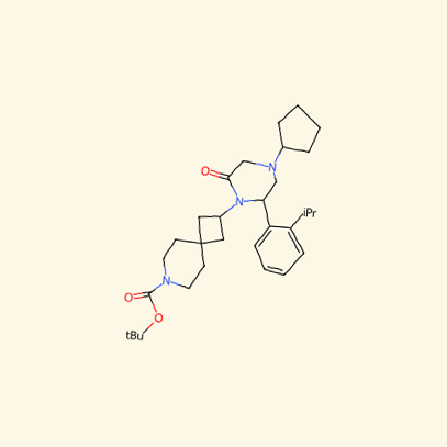 CC(C)c1ccccc1C1CN(C2CCCC2)CC(=O)N1C1CC2(CCN(C(=O)OC(C)(C)C)CC2)C1